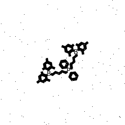 Cc1cc(C)c(B(CCCCC[PH](CCCCCB(c2c(C)cc(C)cc2C)c2c(C)cc(C)cc2C)(c2ccccc2)c2ccccc2)c2c(C)cc(C)cc2C)c(C)c1